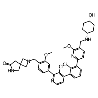 COc1cc(-c2nccc(-c3cccc(-c4ccc(CN[C@H]5CC[C@@H](O)CC5)c(OC)n4)c3Cl)c2Cl)ccc1CN1CC2(CNC(=O)C2)C1